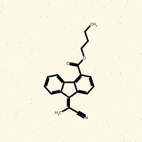 CCCCOC(=O)c1cccc2c1-c1ccccc1C2=C(C)C#N